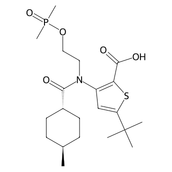 CC(C)(C)c1cc(N(CCOP(C)(C)=O)C(=O)[C@H]2CC[C@H](C)CC2)c(C(=O)O)s1